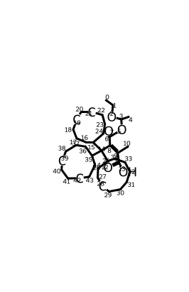 CCOC(C)OC(=O)C(=C(C)C(=O)O)C(C1CCCCCCCCC1)(C1CCCCCCCCC1)C1CCCCCCCCC1